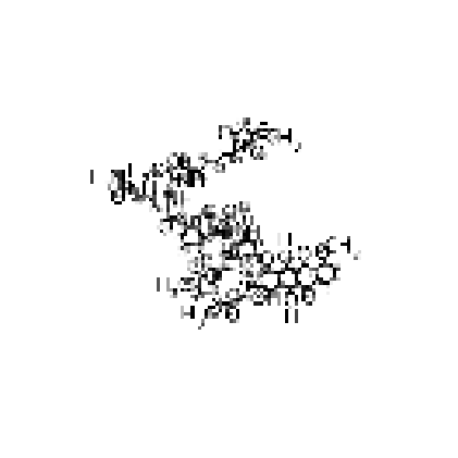 COc1cccc2c1C(=O)c1c(O)c3c(c(O)c1C2=O)C[C@@](O)(C(=O)COC(=O)N(C)CCN(C)C(=O)OCc1ccc(NC(=O)[C@H](CCCNC(N)=O)NC[C@@H](NC(=O)CCCCCN2C(=O)CC(SC)C2=O)C(C)C)cc1)C[C@@H]3O[C@H]1C[C@H]2[C@H](O[C@@H]3[C@@H](OC)OCCN32)[C@H](C)O1